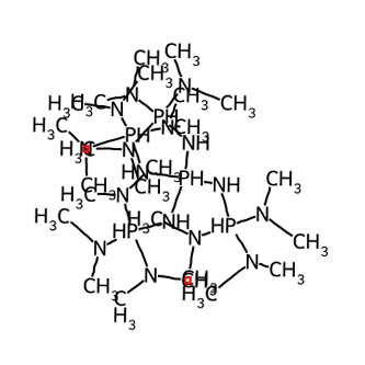 CN(C)[PH](N[PH](N[PH](N(C)C)(N(C)C)N(C)C)(N[PH](N(C)C)(N(C)C)N(C)C)N[PH](N(C)C)(N(C)C)N(C)C)(N(C)C)N(C)C